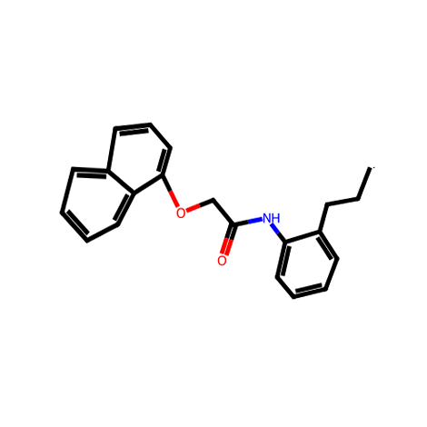 [CH2]CCc1ccccc1NC(=O)COc1cccc2ccccc12